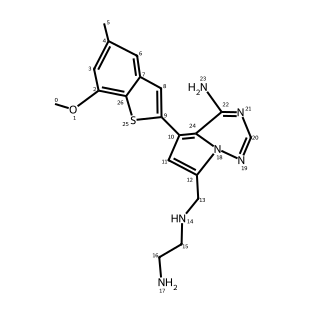 COc1cc(C)cc2cc(-c3cc(CNCCN)n4ncnc(N)c34)sc12